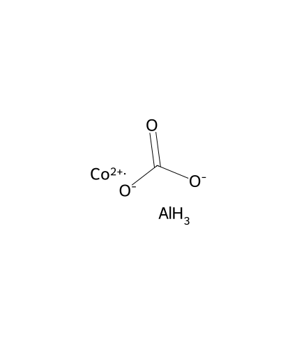 O=C([O-])[O-].[AlH3].[Co+2]